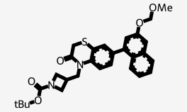 COCOc1cc(-c2ccc3c(c2)SCC(=O)N3CC2CN(C(=O)OC(C)(C)C)C2)c2ccccc2c1